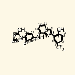 Cc1ccc(C(F)(F)F)cc1-c1cn2cccc(Nc3ccc(-n4ncnc4C)c(F)c3)c2n1